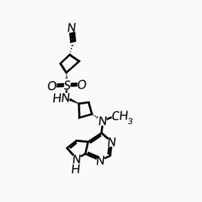 CN(c1ncnc2[nH]ccc12)[C@H]1C[C@H](NS(=O)(=O)[C@H]2C[C@@H](C#N)C2)C1